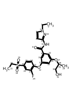 CCn1ccc(NC(=O)c2cc(Oc3ccc(S(=O)(=O)CC)cc3F)cc(O[C@@H](C)CO)c2)n1